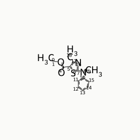 CCOC(=O)c1sc(N(C)c2ccccc2)nc1C